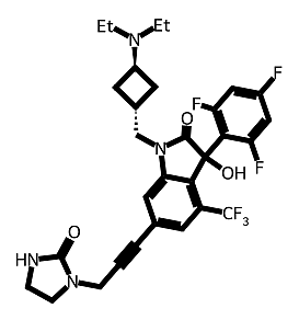 CCN(CC)[C@H]1C[C@H](CN2C(=O)C(O)(c3c(F)cc(F)cc3F)c3c2cc(C#CCN2CCNC2=O)cc3C(F)(F)F)C1